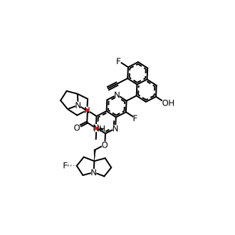 C#Cc1c(F)ccc2cc(O)cc(-c3ncc4c(N5CC6CCC(C5)N6CC(=O)NC)nc(OC[C@@]56CCCN5C[C@H](F)C6)nc4c3F)c12